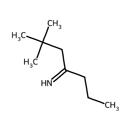 CCCC(=N)CC(C)(C)C